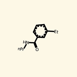 CCCNC(=O)c1cccc(CC)c1